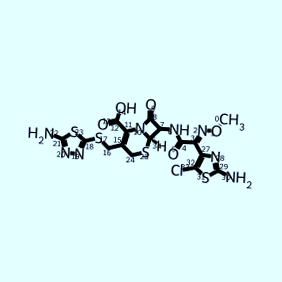 CON=C(C(=O)NC1C(=O)N2C(C(=O)O)=C(CSc3nnc(N)s3)CS[C@@H]12)c1nc(N)sc1Cl